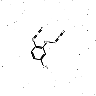 Cc1ccc(N=C=O)c(NN=C=O)c1